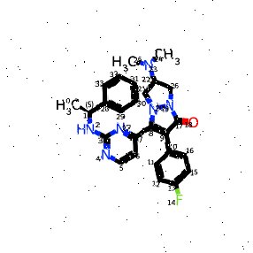 C[C@H](Nc1nccc(-c2c(-c3ccc(F)cc3)c(=O)n3n2CC(N(C)C)C3)n1)c1ccccc1